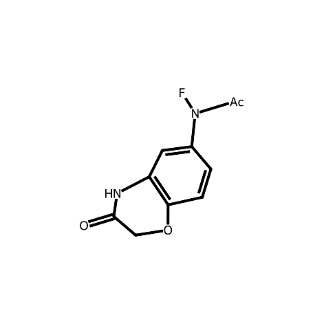 CC(=O)N(F)c1ccc2c(c1)NC(=O)CO2